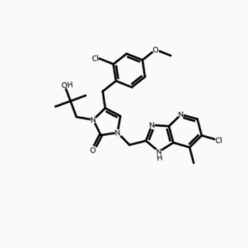 COc1ccc(Cc2cn(Cc3nc4ncc(Cl)c(C)c4[nH]3)c(=O)n2CC(C)(C)O)c(Cl)c1